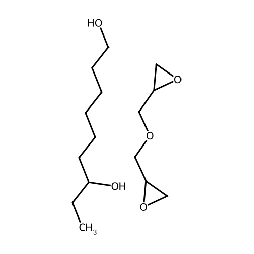 C(OCC1CO1)C1CO1.CCC(O)CCCCCCO